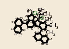 CC1=Cc2c(-c3cccc4ccccc34)c(C)c(C)c(C)c2[CH]1[Zr]([Cl])([Cl])([CH]1C(C(C)C)=Cc2c(-c3cccc4ccccc34)cccc21)[SiH](C)C